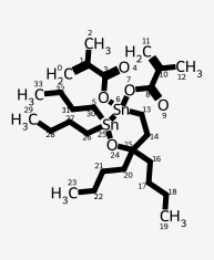 C=C(C)C(=O)[O][Sn]1([O]C(=O)C(=C)C)[CH2]CC(CCCC)(CCCC)[O][Sn]1([CH2]CCC)[CH2]CCC